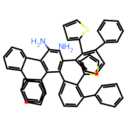 Nc1c(N)c(-c2cccc(-c3ccccc3)c2-c2cccs2)c(-c2cccc(-c3ccccc3)c2-c2cccs2)c(-c2ccccc2)c1-c1ccccc1-c1ccccc1